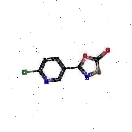 O=c1oc(-c2ccc(Cl)nc2)ns1